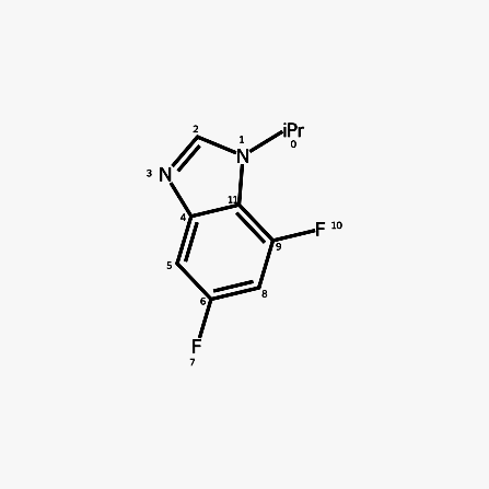 CC(C)n1cnc2cc(F)cc(F)c21